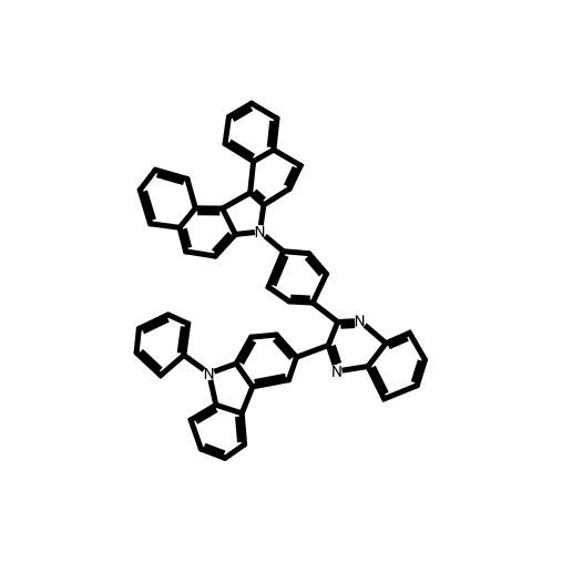 c1ccc(-n2c3ccccc3c3cc(-c4nc5ccccc5nc4-c4ccc(-n5c6ccc7ccccc7c6c6c7ccccc7ccc65)cc4)ccc32)cc1